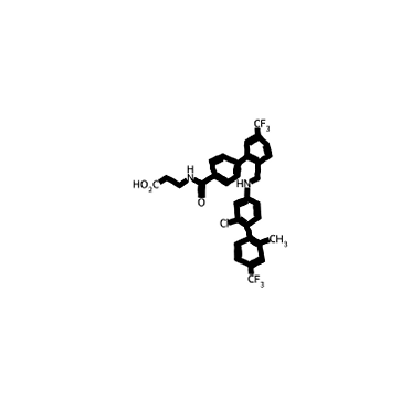 Cc1cc(C(F)(F)F)ccc1-c1ccc(NCc2ccc(C(F)(F)F)cc2-c2ccc(C(=O)NCCC(=O)O)cc2)cc1Cl